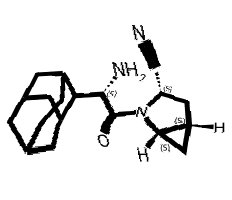 N#C[C@@H]1C[C@@H]2C[C@@H]2N1C(=O)[C@@H](N)C1C2CC3CC(C2)CC1C3